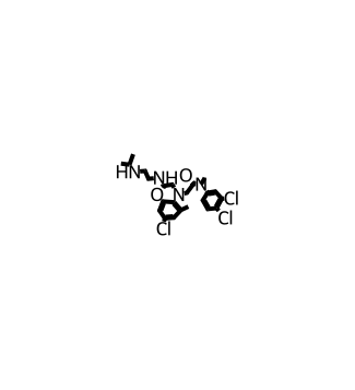 Cc1cc(Cl)ccc1N(CC(=O)NCCNC(C)C)CC(=O)N(C)c1ccc(Cl)c(Cl)c1